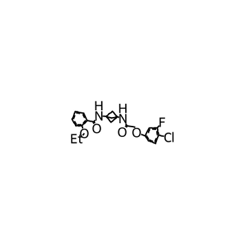 CCOc1ccccc1C(=O)NC12CC(NC(=O)COc3ccc(Cl)c(F)c3)(C1)C2